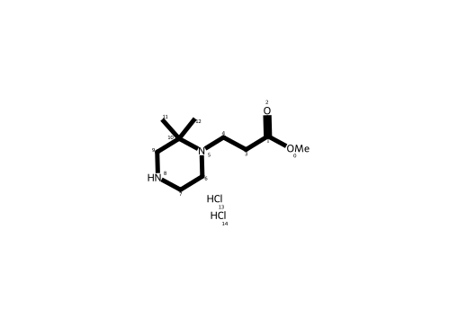 COC(=O)CCN1CCNCC1(C)C.Cl.Cl